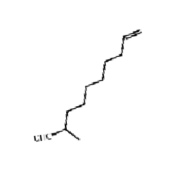 C=CCCCCCC[C@@H](C)C=O